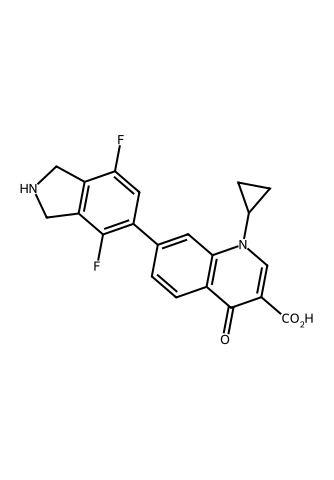 O=C(O)c1cn(C2CC2)c2cc(-c3cc(F)c4c(c3F)CNC4)ccc2c1=O